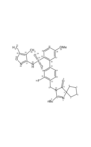 CCCCC1=NC2(CCCC2)C(=O)N1Cc1ccc(-c2cc(OC)ccc2S(=O)(=O)Nc2noc(C)c2C)cc1F